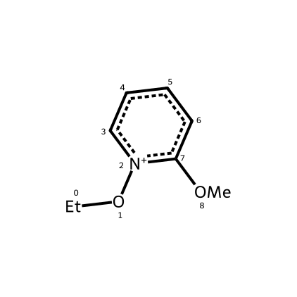 CCO[n+]1ccccc1OC